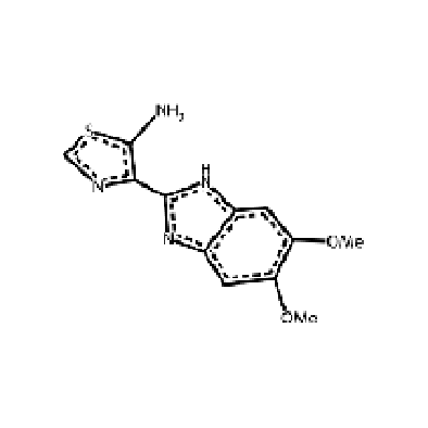 COc1cc2nc(-c3ncsc3N)[nH]c2cc1OC